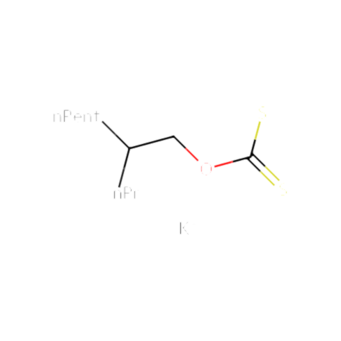 CCCCCC(CCC)COC(=S)[S-].[K+]